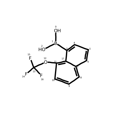 OB(O)c1cccc2cccc(OC(F)(F)F)c12